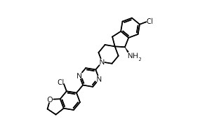 N[C@@H]1c2cc(Cl)ccc2CC12CCN(c1cnc(-c3ccc4c(c3Cl)OCC4)cn1)CC2